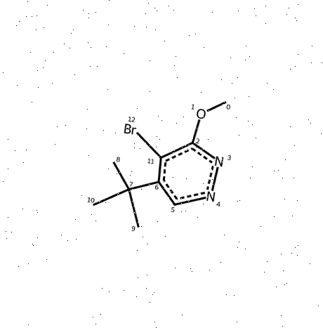 COc1nncc(C(C)(C)C)c1Br